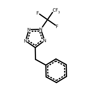 FC(F)(F)C(F)(F)n1nnc(Cc2ccccc2)n1